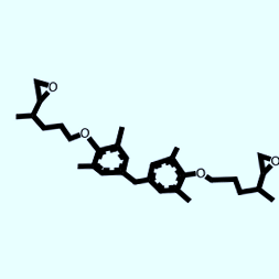 Cc1cc(Cc2cc(C)c(OCCCC(C)C3CO3)c(C)c2)cc(C)c1OCCCC(C)C1CO1